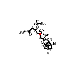 CN([B-]1(CCC[C@@H](CC(=O)OC(C)(C)C)O[Si](C)(C)C(C)(C)C)O[C@@H]2C[C@@H]3C[C@@H](C3(C)C)[C@]2(C)O1)[Si](C)(C)C